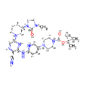 CN1CCN([C@@H]2CCCN(c3cnc(C#N)c(Nc4ccc(N5CCN(C(=O)OC(C)(C)C)CC5)cn4)n3)C2)C1=O